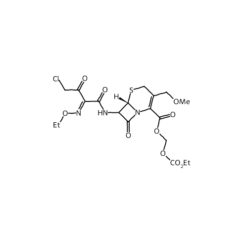 CCON=C(C(=O)CCl)C(=O)NC1C(=O)N2C(C(=O)OCOC(=O)OCC)=C(COC)CS[C@@H]12